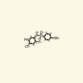 CC(C)(C)c1ccc(S(=O)(=O)Nc2cc(F)c(Cl)cc2I)cc1